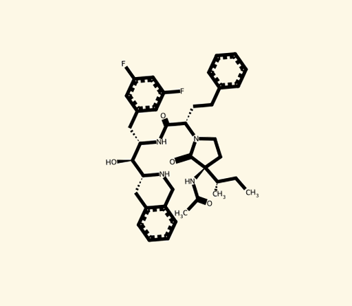 CC[C@H](C)[C@@]1(NC(C)=O)CCN([C@@H](CCc2ccccc2)C(=O)N[C@@H](Cc2cc(F)cc(F)c2)[C@H](O)[C@H]2Cc3ccccc3CN2)C1=O